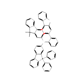 CC1(C)c2ccccc2-c2ccc(N(c3ccc4c(c3)C(c3ccccc3)(c3ccccc3)c3ccccc3-4)c3ccccc3-c3ccc4c(c3)oc3ccccc34)cc21